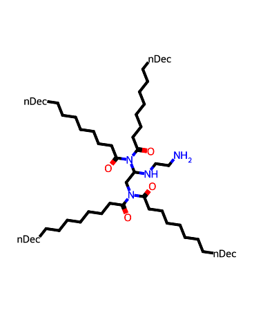 CCCCCCCCCCCCCCCCCC(=O)N(CC(NCCN)N(C(=O)CCCCCCCCCCCCCCCCC)C(=O)CCCCCCCCCCCCCCCCC)C(=O)CCCCCCCCCCCCCCCCC